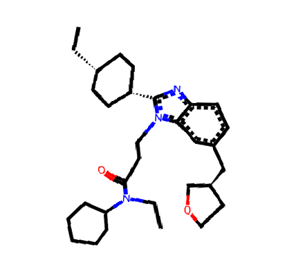 CCN(C(=O)CCn1c2cc(C[C@H]3CCOC3)ccc2nc1[C@H]1CC[C@@H](CC)CC1)C1CCCCC1